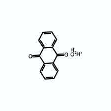 O.O=C1c2ccccc2C(=O)c2ccccc21.[H+]